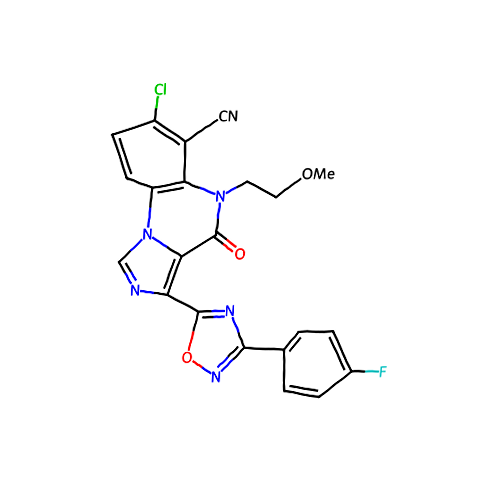 COCCn1c(=O)c2c(-c3nc(-c4ccc(F)cc4)no3)ncn2c2ccc(Cl)c(C#N)c21